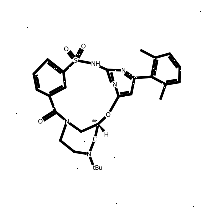 Cc1cccc(C)c1-c1cc2nc(n1)NS(=O)(=O)c1cccc(c1)C(=O)N1CCN(C(C)(C)C)C[C@H](C1)O2